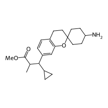 COC(=O)C(C)C(c1ccc2c(c1)OC1(CC2)CCC(N)CC1)C1CC1